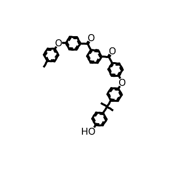 Cc1ccc(Oc2ccc(C(=O)c3cccc(C(=O)c4ccc(Oc5ccc(C(C)(C)c6ccc(O)cc6)cc5)cc4)c3)cc2)cc1